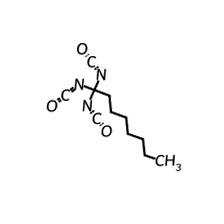 CCCCCCCC(N=C=O)(N=C=O)N=C=O